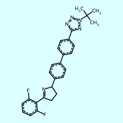 CC(C)(C)n1nnc(-c2ccc(-c3ccc(C4CCC(c5c(F)cccc5F)=N4)cc3)cc2)n1